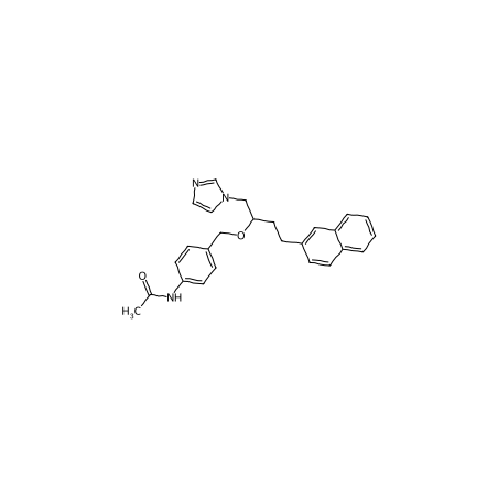 CC(=O)Nc1ccc(COC(CCc2ccc3ccccc3c2)Cn2ccnc2)cc1